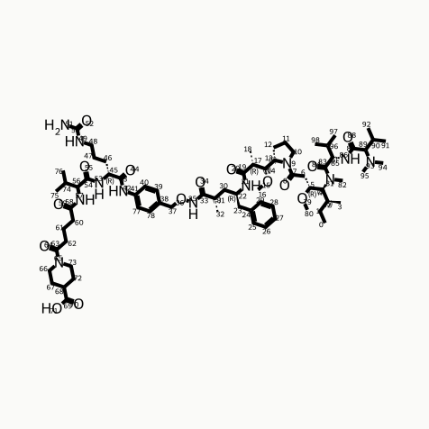 CC[C@H](C)[C@@H]([C@@H](CC(=O)N1CCC[C@H]1[C@H](OC)[C@@H](C)C(=O)N[C@@H](Cc1ccccc1)C[C@H](C)C(=O)NOCc1ccc(NC(=O)[C@@H](CCCNC(N)=O)NC(=O)C(NC(=O)CCCC(=O)N2CCC(C(=O)O)CC2)C(C)C)cc1)OC)N(C)C(=O)[C@@H](NC(=O)C(C(C)C)N(C)C)C(C)C